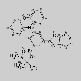 CC1(C)OB(c2cc(-c3nc4ccccc4o3)cc(N3c4ccccc4Oc4ccccc43)c2)OC1(C)C